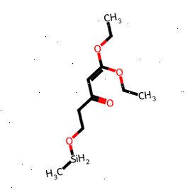 CCOC(=CC(=O)CCO[SiH2]C)OCC